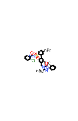 CCCCc1nn(-c2ccccc2C(F)(F)F)c(=O)n1Cc1ccc(-c2cc(CCC)ccc2S(=O)(=O)NC(=O)c2ccccc2Cl)cc1